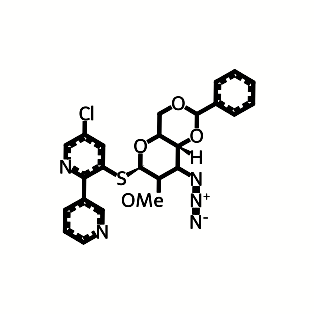 COC1C(N=[N+]=[N-])[C@H]2OC(c3ccccc3)OCC2O[C@@H]1Sc1cc(Cl)cnc1-c1cccnc1